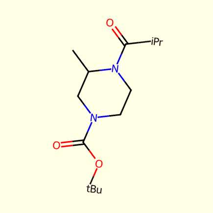 CC(C)C(=O)N1CCN(C(=O)OC(C)(C)C)CC1C